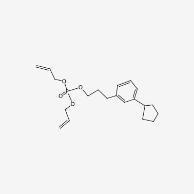 C=CCOP(=O)(OCC=C)OCCCc1cccc(C2CCCC2)c1